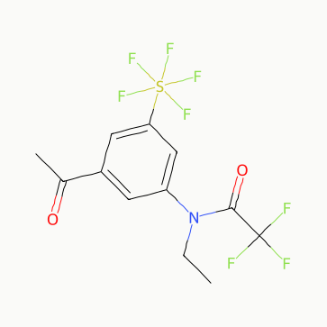 CCN(C(=O)C(F)(F)F)c1cc(C(C)=O)cc(S(F)(F)(F)(F)F)c1